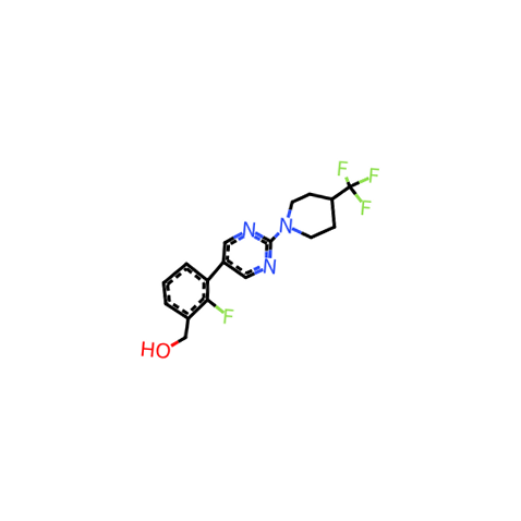 OCc1cccc(-c2cnc(N3CCC(C(F)(F)F)CC3)nc2)c1F